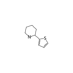 c1csc(C2CCCC[N]2)c1